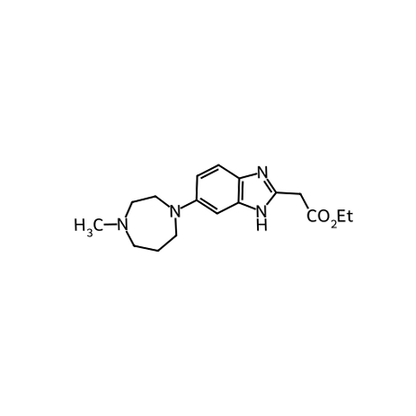 CCOC(=O)Cc1nc2ccc(N3CCCN(C)CC3)cc2[nH]1